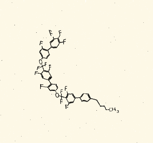 CCCCCc1ccc(-c2cc(F)c(C(F)(F)Oc3ccc(-c4cc(F)c(C(F)(F)Oc5ccc(-c6cc(F)c(F)c(F)c6)c(F)c5)c(F)c4)c(F)c3)c(F)c2)cc1